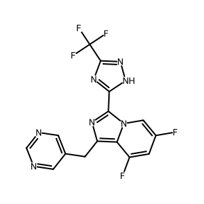 Fc1cc(F)c2c(Cc3cncnc3)nc(-c3nc(C(F)(F)F)n[nH]3)n2c1